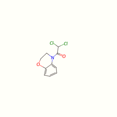 O=C(C(Cl)Cl)N1CCOc2ccccc21